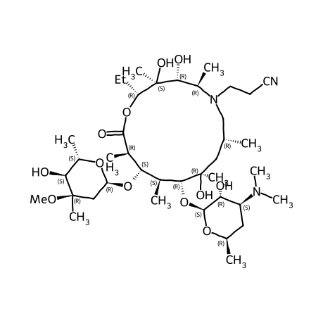 CC[C@H]1OC(=O)[C@H](C)[C@@H](O[C@H]2C[C@@](C)(OC)[C@@H](O)[C@H](C)O2)[C@H](C)[C@@H](O[C@@H]2O[C@H](C)C[C@H](N(C)C)[C@H]2O)[C@](C)(O)C[C@@H](C)CN(CCC#N)[C@H](C)[C@@H](O)[C@]1(C)O